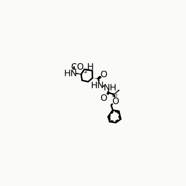 C[C@@H](OCc1ccccc1)C(=O)NNC(=O)[C@H]1CC[C@H](NC(=O)O)CC1